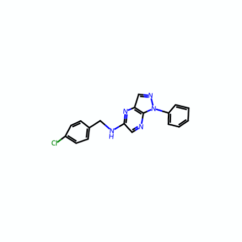 Clc1ccc(CNc2cnc3c(cnn3-c3ccccc3)n2)cc1